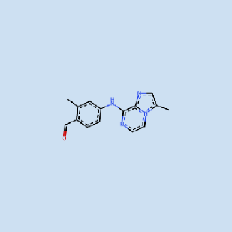 Cc1cc(Nc2nccn3c(C)cnc23)ccc1C=O